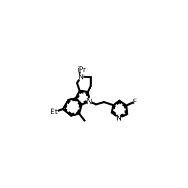 CCc1cc(C)c2c(c1)c1c(n2CCc2cncc(F)c2)CCN(C(C)C)C1